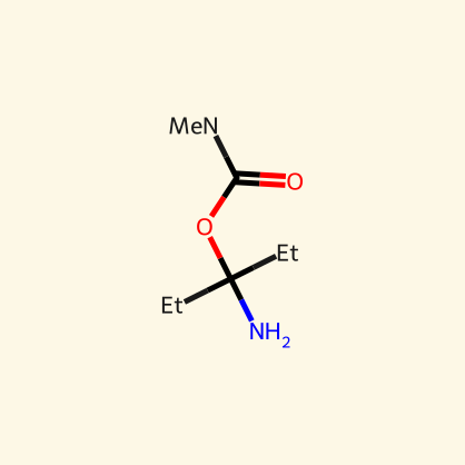 CCC(N)(CC)OC(=O)NC